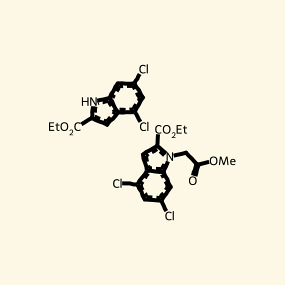 CCOC(=O)c1cc2c(Cl)cc(Cl)cc2[nH]1.CCOC(=O)c1cc2c(Cl)cc(Cl)cc2n1CC(=O)OC